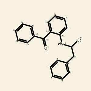 CCC(Cc1ccccc1)Nc1ccccc1C(=O)c1ccccc1